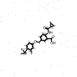 O=C(O)c1cc(COc2ccc(C(F)(F)F)c(F)c2)ccc1NC(=O)C1CC1